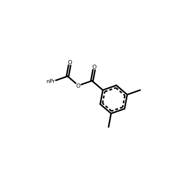 CCCC(=O)OC(=O)c1cc(C)cc(C)c1